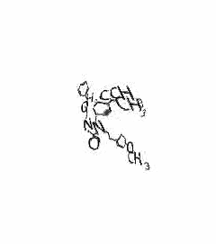 COc1ccc(CCN2C(=O)CN(CCOCc3ccccc3)C2c2ccc(C(C)(C)C)cc2)cc1